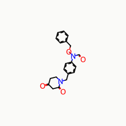 O=CN(OCc1ccccc1)c1ccc(CN2CCC(=O)CC2=O)cc1